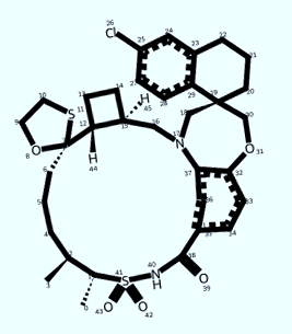 C[C@@H]1[C@@H](C)CCC[C@@]2(OCCS2)[C@@H]2CC[C@H]2CN2C[C@@]3(CCCc4cc(Cl)ccc43)COc3ccc(cc32)C(=O)NS1(=O)=O